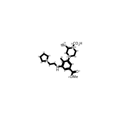 COC(=O)c1cc(NCCN2CCCC2)c(C)c(N2CCN(C(=O)O)C(C(C)(C)C)C2)c1